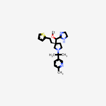 CCOC(C1=NCCN1)[C@]1(CCc2cccs2)CCN(C(C)(C)c2ccc(C)nc2)C1